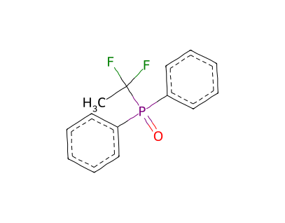 CC(F)(F)P(=O)(c1ccccc1)c1ccccc1